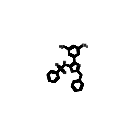 Cc1cc(C)cc(-c2nc(Cc3ccccc3)oc2NS(=O)(=O)c2ccccc2)c1